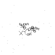 CC(C)(C)CC(CO)CO.CS(=O)(=O)O.CS(=O)(=O)O